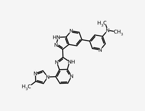 Cc1cn(-c2ccnc3[nH]c(-c4n[nH]c5ncc(-c6cncc(N(C)C)c6)cc45)nc23)cn1